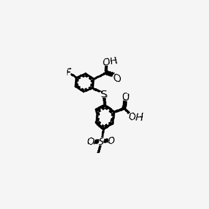 CS(=O)(=O)c1ccc(Sc2ccc(F)cc2C(=O)O)c(C(=O)O)c1